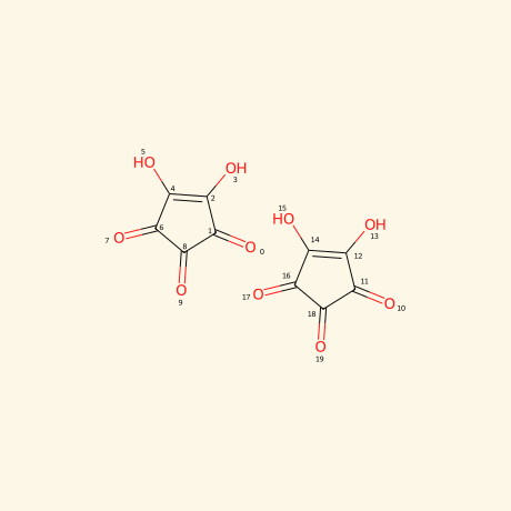 O=c1c(O)c(O)c(=O)c1=O.O=c1c(O)c(O)c(=O)c1=O